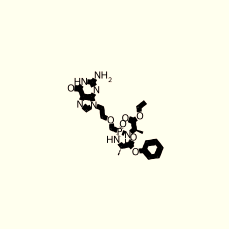 CCOC(=O)[C@@H](C)NP(=O)(COCCn1cnc2c(=O)[nH]c(N)nc21)N[C@@H](C)C(=O)Oc1ccccc1